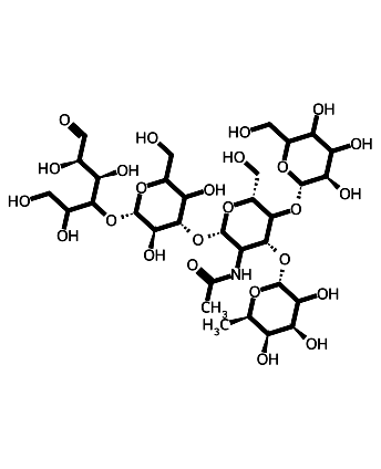 CC(=O)NC1[C@H](O[C@H]2C(O)C(CO)O[C@@H](OC(C(O)CO)[C@H](O)[C@@H](O)C=O)[C@@H]2O)O[C@H](CO)C(O[C@@H]2OC(CO)C(O)C(O)[C@H]2O)[C@@H]1O[C@H]1O[C@H](C)[C@H](O)[C@H](O)C1O